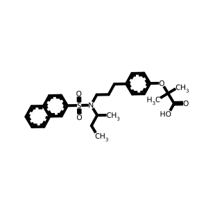 CCC(C)N(CCCc1ccc(OC(C)(C)C(=O)O)cc1)S(=O)(=O)c1ccc2ccccc2c1